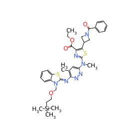 CCOC(=O)c1nc(N(C)c2cc(C)c(/N=c3\sc4ccccc4n3COCC[Si](C)(C)C)nn2)sc1C1CN(C(=O)c2ccccc2)C1